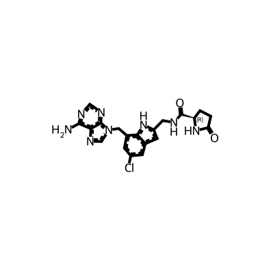 Nc1ncnc2c1ncn2Cc1cc(Cl)cc2cc(CNC(=O)[C@H]3CCC(=O)N3)[nH]c12